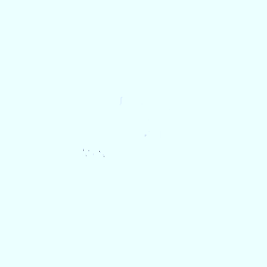 CN[C@@H](C)CC(C)(C)C